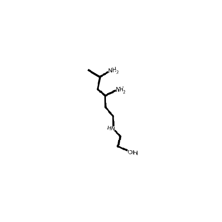 CC(N)CC(N)CCNCCO